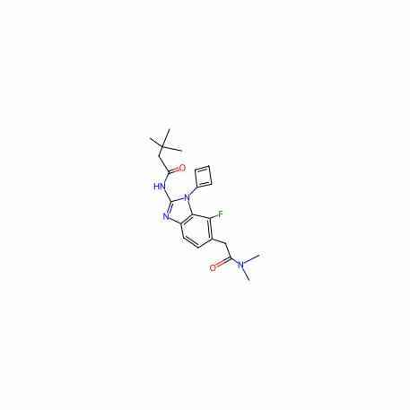 CN(C)C(=O)Cc1ccc2nc(NC(=O)CC(C)(C)C)n(C3=CC=C3)c2c1F